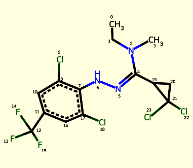 CCN(C)C(=NNc1c(Cl)cc(C(F)(F)F)cc1Cl)C1CC1(Cl)Cl